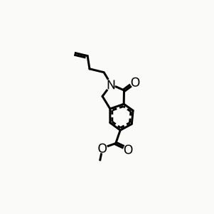 C=CCCN1Cc2cc(C(=O)OC)ccc2C1=O